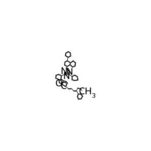 C\C=C/C(=C\C=C\c1ccc2c(c1)oc1cccc(-c3nc(-c4ccccc4)nc(-c4ccc(-c5ccccc5)c5ccccc45)n3)c12)c1ccccc1